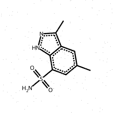 Cc1cc(S(N)(=O)=O)c2[nH]nc(C)c2c1